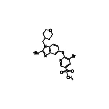 CC(C)(C)c1nc2cc(Sc3ncc(S(C)(=O)=O)cc3Br)ccc2n1CC1CCOCC1